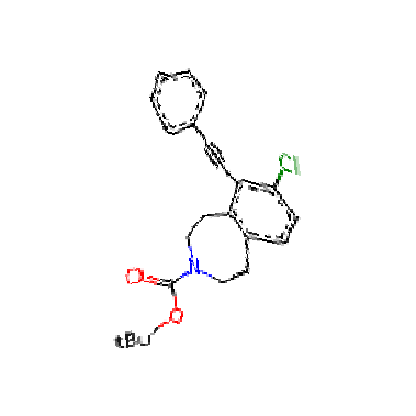 CC(C)(C)OC(=O)N1CCc2ccc(Cl)c(C#Cc3ccccc3)c2CC1